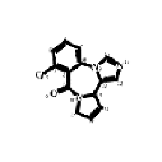 O=C1c2c(Cl)cccc2-n2cncc2C2C=CCN12